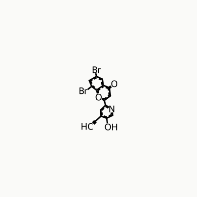 C#Cc1cc(-c2cc(=O)c3cc(Br)cc(Br)c3o2)ncc1O